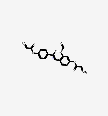 C=CC(=O)Oc1ccc(/C(C)=C/c2ccc(OC(=O)C=C)cc2OC=O)cc1